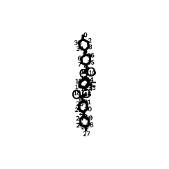 CC1CCC(C2CCC(C(=O)Oc3ccc(OC(=O)C4CCC(C5CCC(C)CC5)CC4)c(F)c3)CC2)CC1